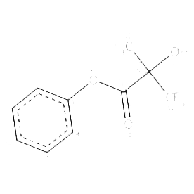 O=C(Oc1ccccc1)C(O)(C(F)(F)F)C(F)(F)F